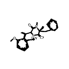 COc1cccc(C#N)c1C(C)C1NC(=O)C(C)(Cc2ccccc2)N(C)C1=O